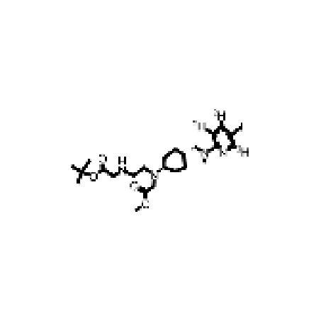 [2H]c1nc(N(C)C[C@H]2CC[C@H](N(CCNCC(=O)OC(C)(C)C)CC(=O)OC)CC2)c([2H])c([2H])c1I